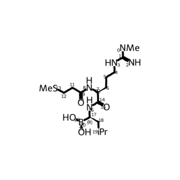 CNC(=N)NCCC[C@H](NC(=O)CCSC)C(=O)N[C@@H](CC(C)C)B(O)O